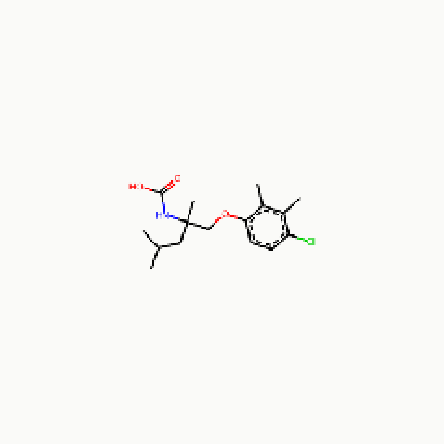 Cc1c(Cl)ccc(OCC(C)(CC(C)C)NC(=O)O)c1C